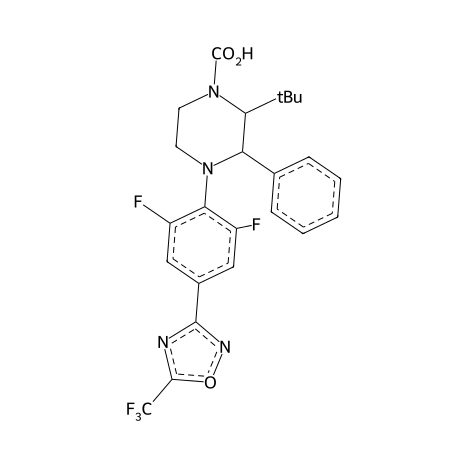 CC(C)(C)C1C(c2ccccc2)N(c2c(F)cc(-c3noc(C(F)(F)F)n3)cc2F)CCN1C(=O)O